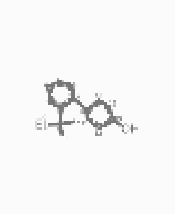 CCC(C)(C)c1ccccc1-c1ccc(O)cc1